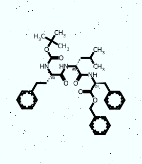 CC(C)C[C@@H](NC(=O)[C@H](CCc1ccccc1)NC(=O)OC(C)(C)C)C(=O)N[C@@H](Cc1ccccc1)C(=O)OCc1ccccc1